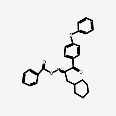 O=C(O/N=C(\CC1CCCCC1)C(=O)c1ccc(Sc2ccccc2)cc1)c1ccccc1